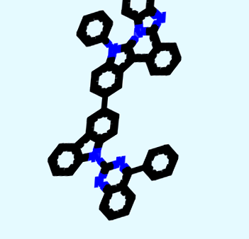 c1ccc(-c2nc(-n3c4ccccc4c4cc(-c5ccc6c(c5)c5c7ccccc7c7nc8ccccc8n7c5n6-c5ccccc5)ccc43)nc3ccccc23)cc1